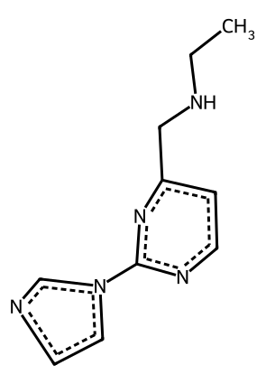 CCNCc1ccnc(-n2ccnc2)n1